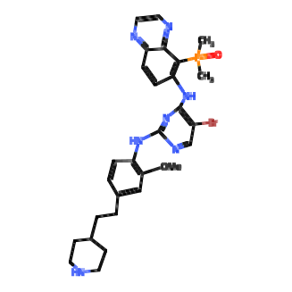 COc1cc(CCC2CCNCC2)ccc1Nc1ncc(Br)c(Nc2ccc3nccnc3c2P(C)(C)=O)n1